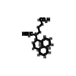 O=C(O)CCCC(C(=O)O)C1C=Cc2cccc3cccc1c23